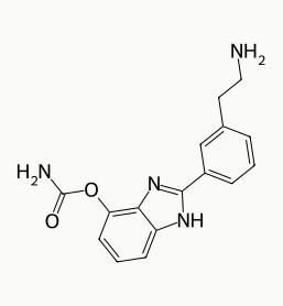 NCCc1cccc(-c2nc3c(OC(N)=O)cccc3[nH]2)c1